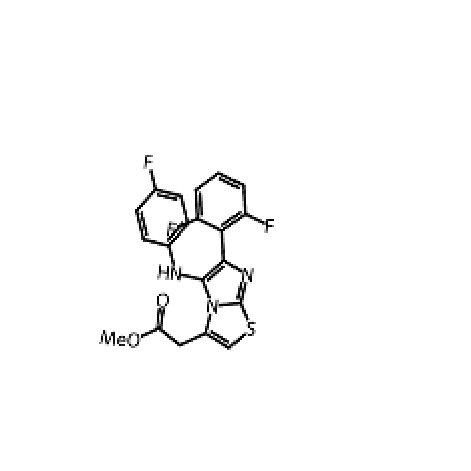 COC(=O)Cc1csc2nc(-c3c(F)cccc3F)c(Nc3ccc(F)cc3)n12